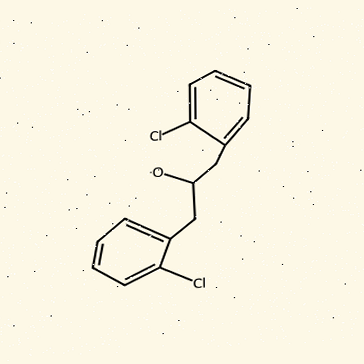 [O]C(Cc1ccccc1Cl)Cc1ccccc1Cl